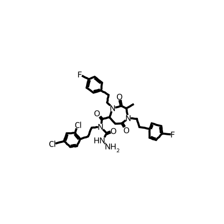 CC1C(=O)N(CCc2ccc(F)cc2)C(C(=O)N(CCc2ccc(Cl)cc2Cl)C(=O)NN)CC(=O)N1CCc1ccc(F)cc1